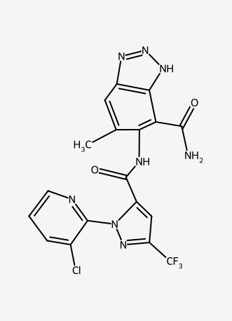 Cc1cc2nn[nH]c2c(C(N)=O)c1NC(=O)c1cc(C(F)(F)F)nn1-c1ncccc1Cl